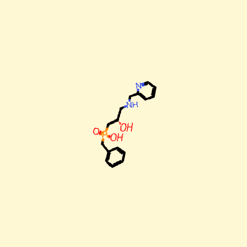 O=P(O)(Cc1ccccc1)C[C@@H](O)CNCc1ccccn1